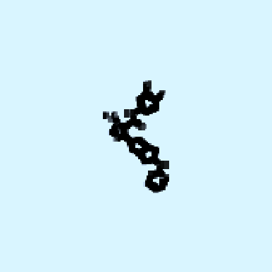 Cn1cnc(C2CC3CC(Nc4ncccn4)CC3C2)c1C(=O)Nc1ccc(F)c(Cl)c1